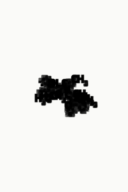 Cc1ccc(N(c2ccc3c(c2)C(C)(C)c2c4c(c5c(oc6ccccc65)c2-3)-c2ccccc2C4(C)C)c2ccc3c(c2)C(C)(C)c2c4c(c5c(oc6ccccc65)c2-3)-c2ccccc2C4(C)C)c(C)c1